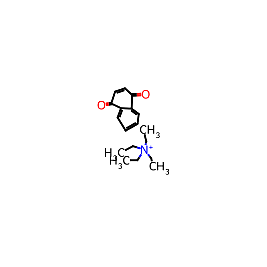 CC[N+](CC)(CC)CC.O=C1C=CC(=O)c2ccccc21